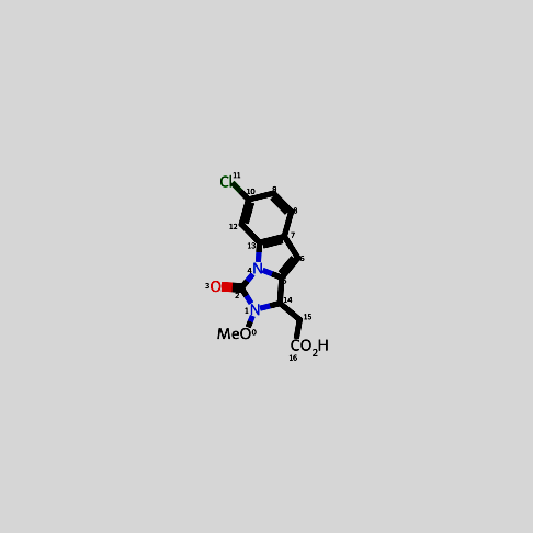 CON1C(=O)n2c(cc3ccc(Cl)cc32)C1CC(=O)O